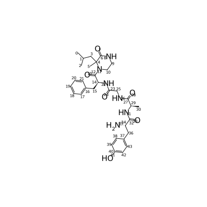 CC(C)CC1(C)C(=O)NCCN1C(=O)[C@H](Cc1ccccc1)NC(=O)CNC(=O)[C@@H](C)NC(=O)[C@@H](N)Cc1ccc(O)cc1